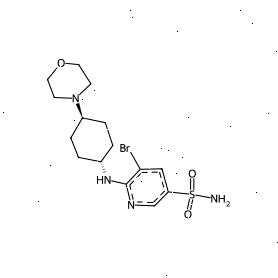 NS(=O)(=O)c1cnc(N[C@H]2CC[C@H](N3CCOCC3)CC2)c(Br)c1